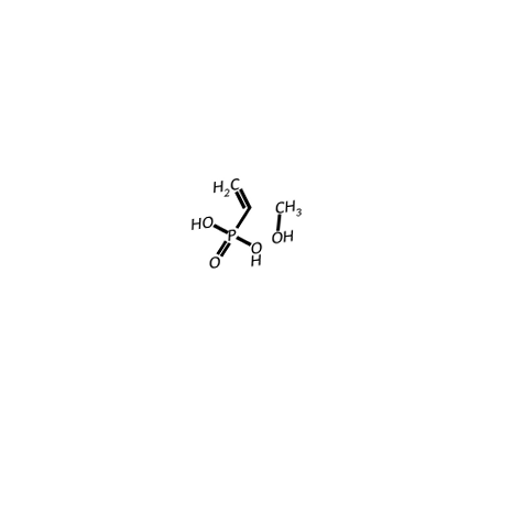 C=CP(=O)(O)O.CO